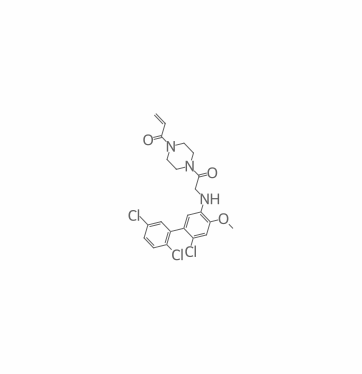 C=CC(=O)N1CCN(C(=O)CNc2cc(-c3cc(Cl)ccc3Cl)c(Cl)cc2OC)CC1